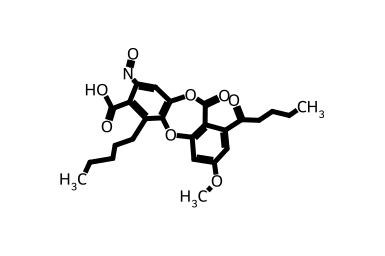 CCCCCc1c2c(cc(N=O)c1C(=O)O)OC(=O)c1c(cc(OC)cc1C(=O)CCCC)O2